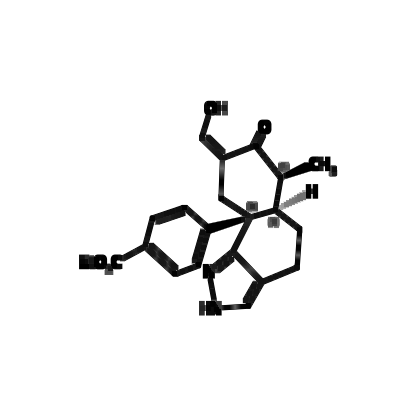 CCOC(=O)c1ccc([C@@]23CC(=CO)C(=O)[C@@H](C)[C@H]2CCc2c[nH]nc23)cc1